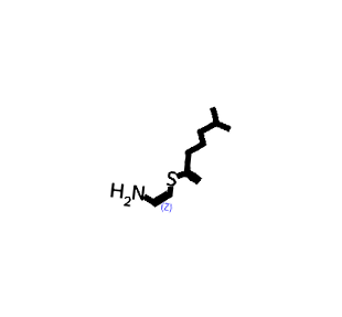 C=C(CCCC(C)C)S/C=C\N